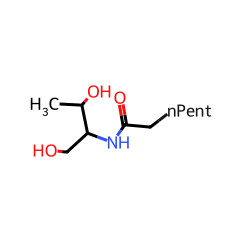 CCCCCCC(=O)NC(CO)C(C)O